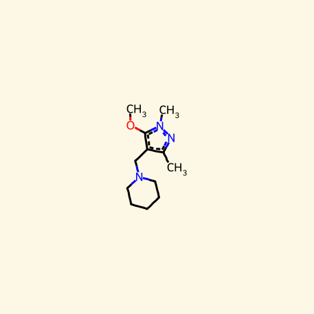 COc1c(CN2CCCCC2)c(C)nn1C